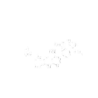 Cc1nc2ncnc(N[C@H](C)c3cccc(C(C)(C)F)c3F)c2cc1N1CCS(=O)(=O)CC1